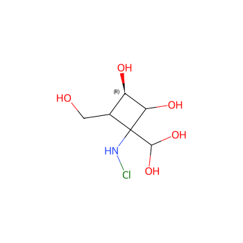 OCC1[C@@H](O)C(O)C1(NCl)C(O)O